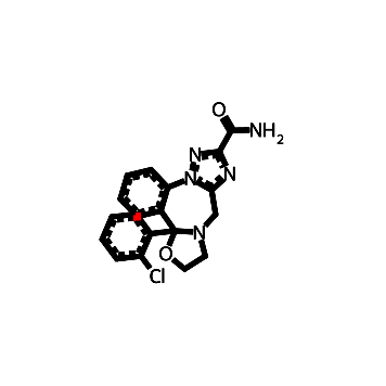 NC(=O)c1nc2n(n1)-c1ccccc1C1(c3ccccc3Cl)OCCN1C2